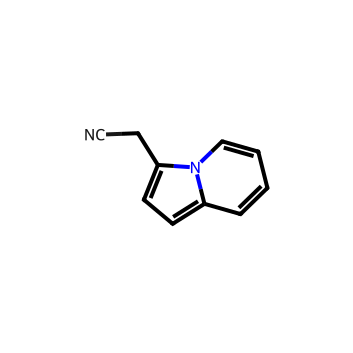 N#CCc1ccc2ccccn12